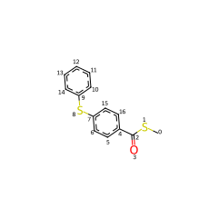 CSC(=O)c1ccc(Sc2ccccc2)cc1